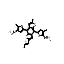 C/C=C/c1cc2c(-c3cc(C)c(N)s3)c3sc(C)cc3c(-c3cc(N)c(C)s3)c2s1